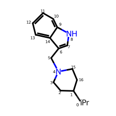 CC(C)C1CCN(Cc2c[nH]c3ccccc23)CC1